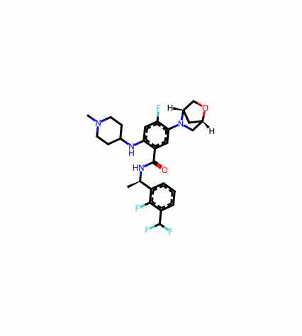 C[C@@H](NC(=O)c1cc(N2C[C@@H]3C[C@H]2CO3)c(F)cc1NC1CCN(C)CC1)c1cccc(C(F)F)c1F